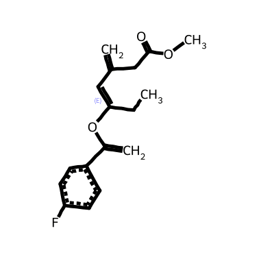 C=C(/C=C(\CC)OC(=C)c1ccc(F)cc1)CC(=O)OC